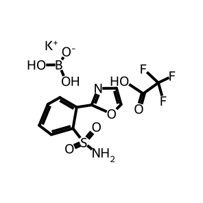 NS(=O)(=O)c1ccccc1-c1ncco1.O=C(O)C(F)(F)F.[K+].[O-]B(O)O